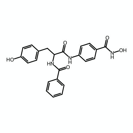 O=C(NO)c1ccc(NC(=O)C(Cc2ccc(O)cc2)NC(=O)c2ccccc2)cc1